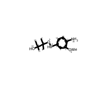 COc1cc(BOC(C)(C)C(C)(C)O)ccc1N